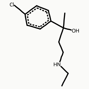 CCNCCC(C)(O)c1ccc(Cl)cc1